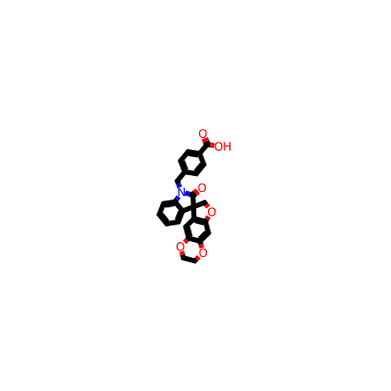 O=C(O)c1ccc(CN2C(=O)C3(COc4cc5c(cc43)OCCO5)c3ccccc32)cc1